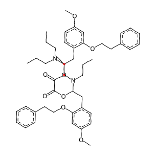 CCCN(CCC)C(Cc1ccc(OC)cc1OCCc1ccccc1)OC(=O)C(=O)OC(Cc1ccc(OC)cc1OCCc1ccccc1)N(CCC)CCC